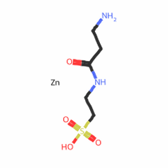 NCCC(=O)NCCS(=O)(=O)O.[Zn]